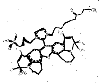 CCOC(=O)CCCCCn1cc[n+](CCCS(=O)(=O)O)c1C1=c2cc3c4c(c2Oc2c1cc1c5c2CCCN5C(C)(C)C=C1C)CCC[N+]=4C(C)(C)C=C3C